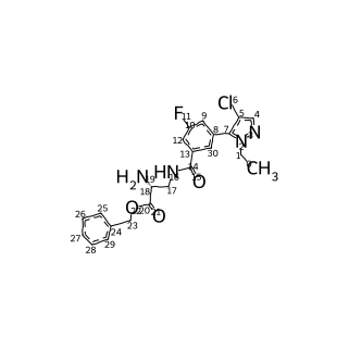 CCn1ncc(Cl)c1-c1cc(F)cc(C(=O)NC[C@@H](N)C(=O)OCc2ccccc2)c1